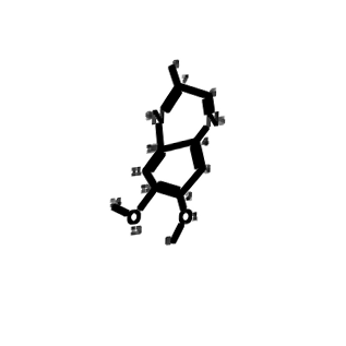 COc1cc2ncc(C)nc2cc1OC